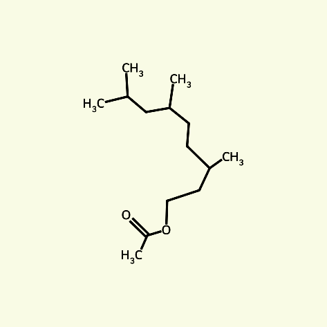 CC(=O)OCCC(C)CCC(C)CC(C)C